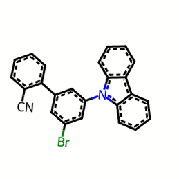 N#Cc1ccccc1-c1cc(Br)cc(-n2c3ccccc3c3ccccc32)c1